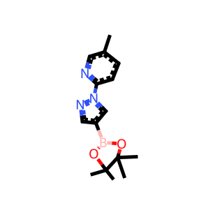 Cc1ccc(-n2cc(B3OC(C)(C)C(C)(C)O3)cn2)nc1